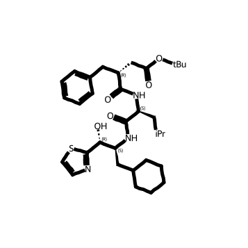 CC(C)C[C@H](NC(=O)[C@@H](CC(=O)OC(C)(C)C)Cc1ccccc1)C(=O)N[C@@H](CC1CCCCC1)[C@@H](O)c1nccs1